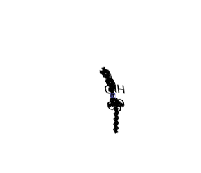 CCCCCCCCCCOc1c(OC)cc(/C=C/C(=O)NN2CCN(c3ccc(C)c(C)c3)CC2)cc1OC